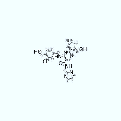 O=C(NCc1ncccn1)c1cnc(N2C(CO)CC3CC32)nc1NCc1ccc(CO)c(Cl)c1